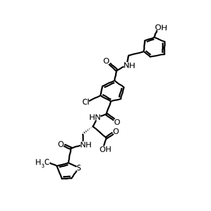 Cc1ccsc1C(=O)NC[C@H](NC(=O)c1ccc(C(=O)NCc2cccc(O)c2)cc1Cl)C(=O)O